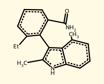 CCc1cccc(C(N)=O)c1-c1c(C)[nH]c2cccc(C)c12